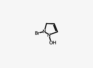 ON1C=CCN1Br